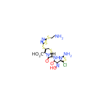 NCCSc1nnc(SC2=C(C(=O)O)N3C(=O)[C@@H](NC(=O)/C(=N\O)c4nc(N)sc4Cl)[C@H]3SC2)s1